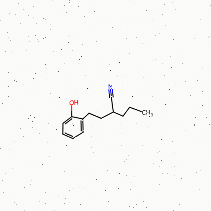 CCCC(C#N)CCc1ccccc1O